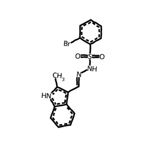 Cc1[nH]c2ccccc2c1/C=N/NS(=O)(=O)c1ccccc1Br